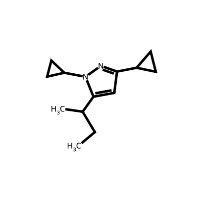 CCC(C)c1cc(C2CC2)nn1C1CC1